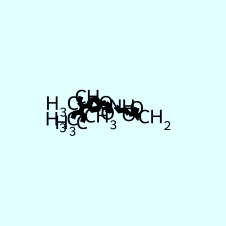 C=CC(=O)OCCNC(=O)Oc1ccc(C(C(C)C)C(CC)C(C)C)cc1